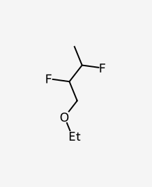 [CH2]COCC(F)C(C)F